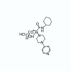 C[C@@H](C(=O)NC1CCCCC1)N1CCN(c2ccncc2)CC1.Cl.Cl.O=C(O)O